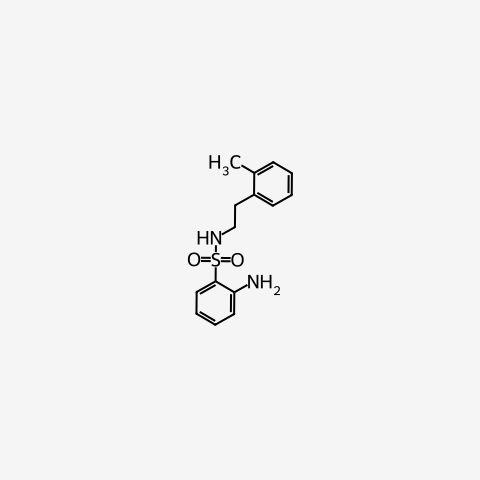 Cc1ccccc1CCNS(=O)(=O)c1ccccc1N